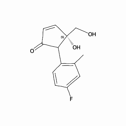 Cc1cc(F)ccc1C1C(=O)C=C[C@@]1(O)CO